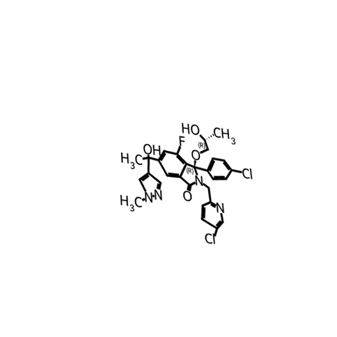 C[C@@H](O)CO[C@]1(c2ccc(Cl)cc2)c2c(F)cc(C(C)(O)c3cnn(C)c3)cc2C(=O)N1Cc1ccc(Cl)cn1